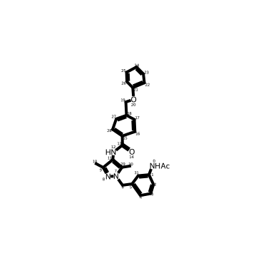 CC(=O)Nc1cccc(Cn2nc(C)c(NC(=O)c3ccc(COc4ccccc4)cc3)c2C)c1